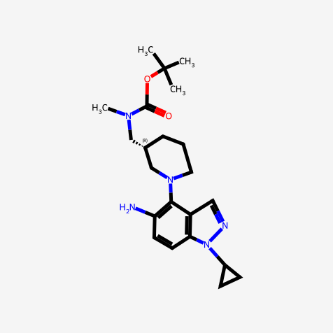 CN(C[C@@H]1CCCN(c2c(N)ccc3c2cnn3C2CC2)C1)C(=O)OC(C)(C)C